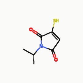 CC(C)N1C(=O)C=C(S)C1=O